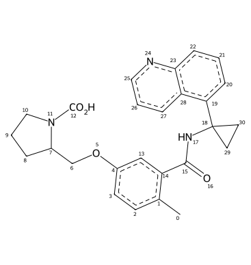 Cc1ccc(OCC2CCCN2C(=O)O)cc1C(=O)NC1(c2cccc3ncccc23)CC1